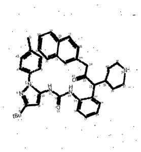 Cc1ccc(-n2nc(C(C)(C)C)cc2NC(=O)Nc2ccccc2C(C(=O)Cc2ccc3ccccc3c2)C2CCNCC2)cc1